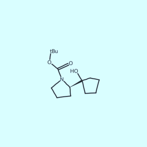 CC(C)(C)OC(=O)N1CCC[C@@H]1C1(O)CCCC1